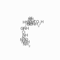 NC[C@H](NC(=O)CCCNC(=O)c1ccc(NCc2cnc3nc(N)[nH]c(=O)c3n2)cc1)C(=O)N[C@@H](CC(=O)O)C(N)=O